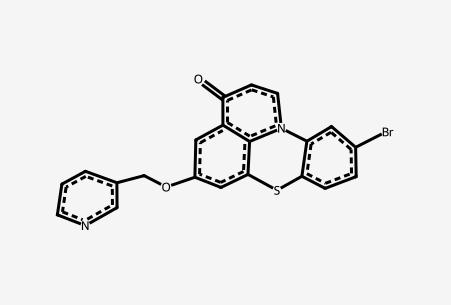 O=c1ccn2c3c(cc(OCc4cccnc4)cc13)Sc1ccc(Br)cc1-2